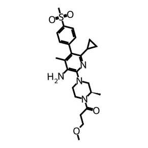 COCCC(=O)N1CCN(c2nc(C3CC3)c(-c3ccc(S(C)(=O)=O)cc3)c(C)c2N)C[C@H]1C